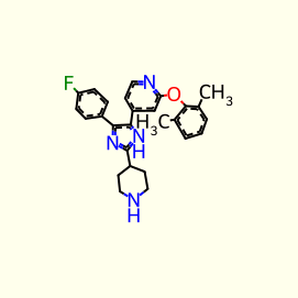 Cc1cccc(C)c1Oc1cc(-c2[nH]c(C3CCNCC3)nc2-c2ccc(F)cc2)ccn1